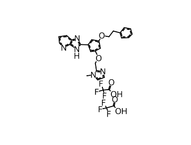 Cn1ccnc1COc1cc(OCCc2ccccc2)cc(-c2nc3cccnc3[nH]2)c1.O=C(O)C(F)(F)F.O=C(O)C(F)(F)F